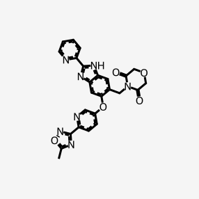 Cc1nc(-c2ccc(Oc3cc4nc(-c5ccccn5)[nH]c4cc3CN3C(=O)COCC3=O)cn2)no1